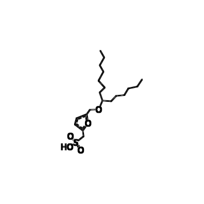 CCCCCCCC(CCCCCC)OCc1ccc(CS(=O)(=O)O)o1